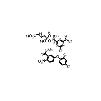 CCNc1nc(Cl)nc(NC(C)(C)C)n1.COC(=O)c1cc(Oc2ccc(Cl)cc2Cl)ccc1[N+](=O)[O-].O=C(O)CNCP(=O)(O)O